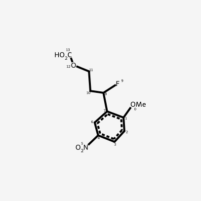 COc1ccc([N+](=O)[O-])cc1C(F)CCOC(=O)O